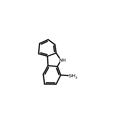 [SiH3]c1cccc2c1[nH]c1ccccc12